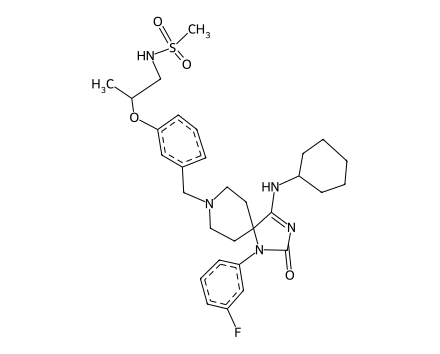 CC(CNS(C)(=O)=O)Oc1cccc(CN2CCC3(CC2)C(NC2CCCCC2)=NC(=O)N3c2cccc(F)c2)c1